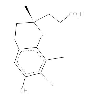 Cc1c(O)cc2c(c1C)O[C@@](C)(CCC(=O)O)CC2